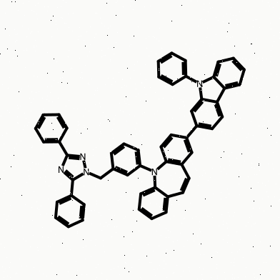 C1=Cc2cc(-c3ccc4c5ccccc5n(-c5ccccc5)c4c3)ccc2N(c2cccc(Cn3nc(-c4ccccc4)nc3-c3ccccc3)c2)c2ccccc21